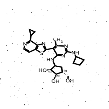 Cc1nc(NC2CCC2)nc(NC2C[C@H](CO)[C@@H](O)[C@H]2O)c1-c1nc2c(C3CC3)nccc2s1